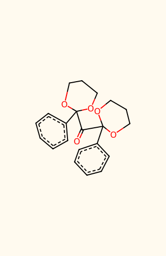 O=C(C1(c2ccccc2)OCCCO1)C1(c2ccccc2)OCCCO1